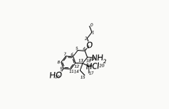 CCCOC1Cc2ccc(O)cc2C(CC)(CC)C1N.Cl